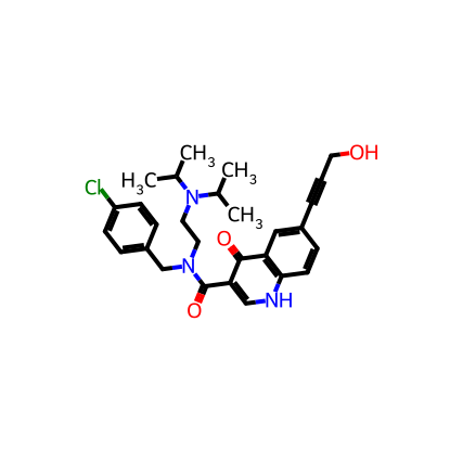 CC(C)N(CCN(Cc1ccc(Cl)cc1)C(=O)c1c[nH]c2ccc(C#CCO)cc2c1=O)C(C)C